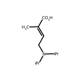 CC(=CCN(C(C)C)C(C)C)C(=O)O